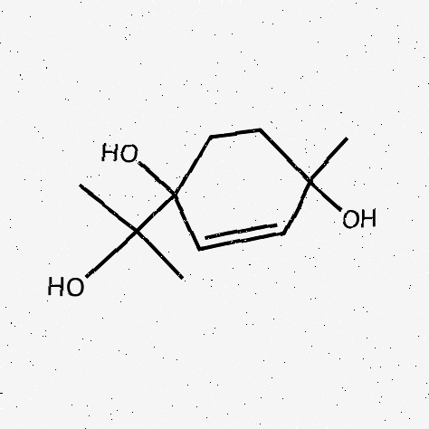 CC1(O)C=CC(O)(C(C)(C)O)CC1